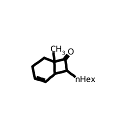 CCCCCCC1C(=O)C2(C)CCC=CC12